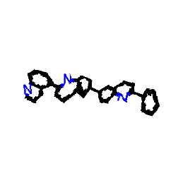 c1ccc(-c2ccc3cc(-c4ccc5nc(-c6cccc7ncccc67)ccc5c4)ccc3n2)cc1